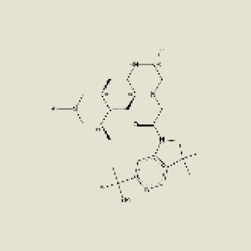 CCCC(C)(F)c1cc2c(cn1)C(C)(C)CN2C(=O)CN1C[C@@H](C)NC[C@@H]1CN1[C@H](C)CN(C(C)=O)C[C@@H]1C